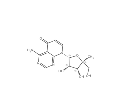 C[C@]1(CO)O[C@@H](n2ccc(=O)c3c(N)ncnc32)[C@H](O)[C@@H]1O